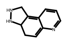 C1=c2ncccc2=C2CNNC2C1